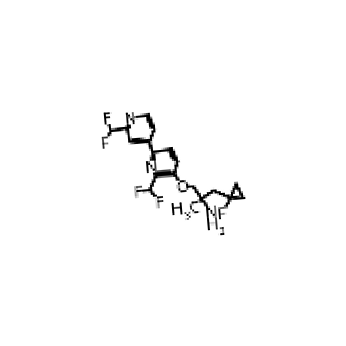 CC(N)(COc1ccc(-c2ccnc(C(F)F)c2)nc1C(F)F)CC1(F)CC1